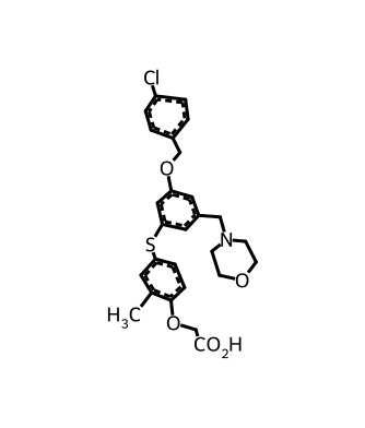 Cc1cc(Sc2cc(CN3CCOCC3)cc(OCc3ccc(Cl)cc3)c2)ccc1OCC(=O)O